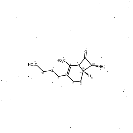 N[C@@H]1C(=O)N2C(C(=O)O)=C(CSCC(=O)O)CS[C@@H]12